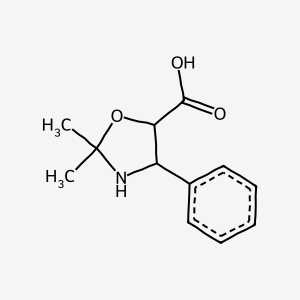 CC1(C)NC(c2ccccc2)C(C(=O)O)O1